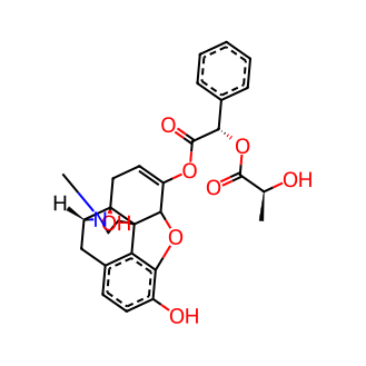 C[C@H](O)C(=O)O[C@H](C(=O)OC1=CC[C@@]2(O)[C@H]3Cc4ccc(O)c5c4C2(CCN3C)C1O5)c1ccccc1